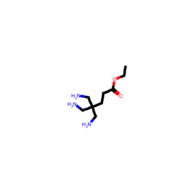 CCOC(=O)CCC(CN)(CN)CN